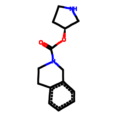 O=C(O[C@H]1CCNC1)N1CCc2ccccc2C1